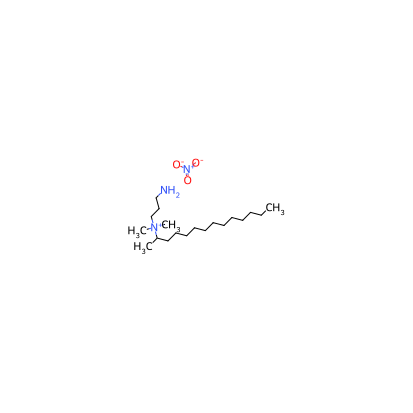 CCCCCCCCCCCCC(C)[N+](C)(C)CCCN.O=[N+]([O-])[O-]